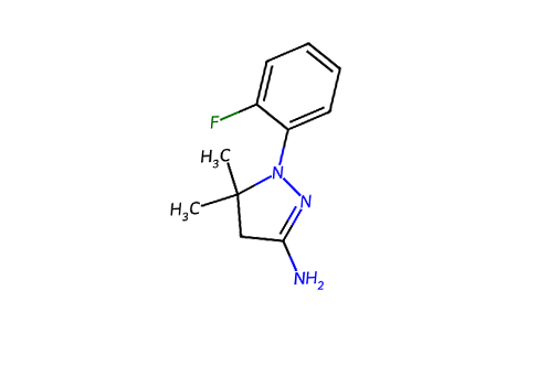 CC1(C)CC(N)=NN1c1ccccc1F